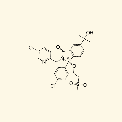 CC(C)(O)c1ccc2c(c1)C(=O)N(Cc1ccc(Cl)cn1)[C@@]2(OCCS(C)(=O)=O)c1ccc(Cl)cc1